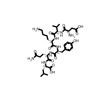 CC(C)C[C@H](NC(=O)[C@H](CCC(N)=O)NC(=O)[C@H](Cc1ccc(O)cc1)NC(=O)[C@H](CCCCN)NC(=O)[C@@H](NC(=O)[C@@H](N)CC(=O)O)C(C)C)C(=O)O